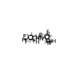 O=C(NCc1ccc(C(F)(F)F)cc1F)Nc1cc(F)cc2[nH]ncc12